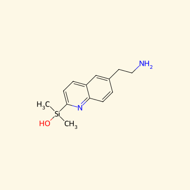 C[Si](C)(O)c1ccc2cc(CCN)ccc2n1